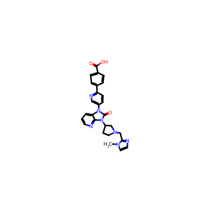 Cn1ccnc1CN1CCC(n2c(=O)n(-c3ccc(-c4ccc(C(=O)O)cc4)nc3)c3cccnc32)C1